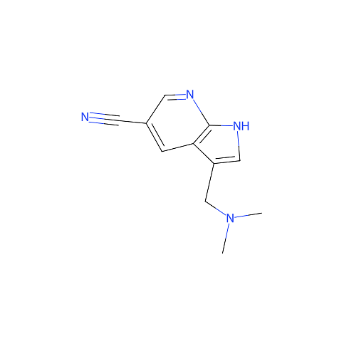 CN(C)Cc1c[nH]c2ncc(C#N)cc12